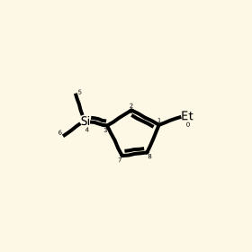 CCC1=[C]C(=[Si](C)C)C=C1